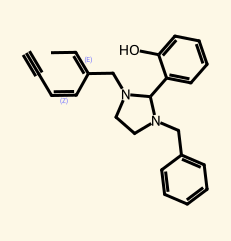 C#C/C=C\C(=C/C)CN1CCN(Cc2ccccc2)C1c1ccccc1O